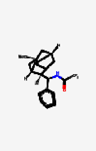 CO[C@]12C[C]3C[C@H](C[C@@H](C1)[C@@H]3[C@@H](NC(=O)C(F)(F)F)c1ccccc1)C2